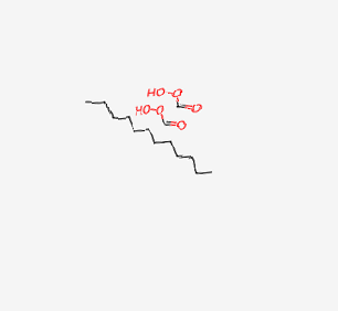 CCCCCCCCCCCC.O=COO.O=COO